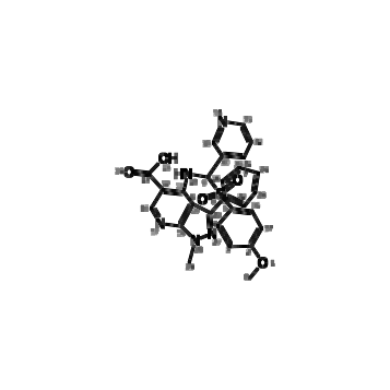 COc1ccc(S(=O)(=O)C(Nc2c(C(=O)O)cnc3c2c(-c2ccccc2)nn3C)c2cccnc2)cc1